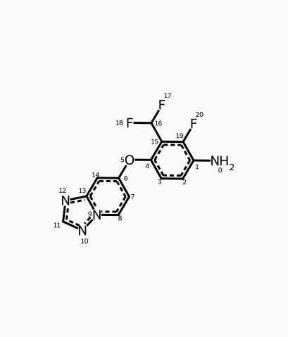 Nc1ccc(Oc2ccn3ncnc3c2)c(C(F)F)c1F